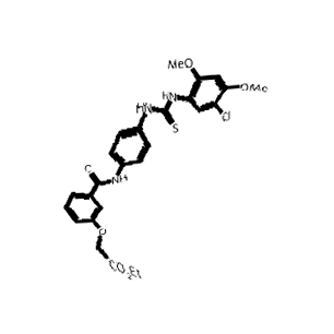 CCOC(=O)COc1cccc(C(=O)Nc2ccc(NC(=S)Nc3cc(Cl)c(OC)cc3OC)cc2)c1